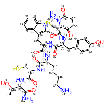 C[C@@H](O)[C@H](NC(=O)[C@H](CS)NC(=O)[C@H](CCCCN)NC(=O)[C@@H](Cc1c[nH]c2ccccc12)NC(=O)[C@H](Cc1ccc(O)cc1)NC(=O)[C@@]1(CS)C(=O)CCC(=O)N1N)C(N)=O